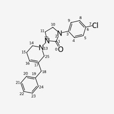 O=C1N(c2ccc(Cl)cc2)CCN1N1CCC=C(Cc2ccccc2)C1